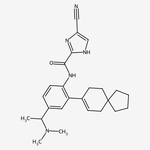 CC(c1ccc(NC(=O)c2nc(C#N)c[nH]2)c(C2=CCC3(CCCC3)CC2)c1)N(C)C